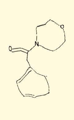 O=C(C1=CC=CC[CH]1)N1CCOCC1